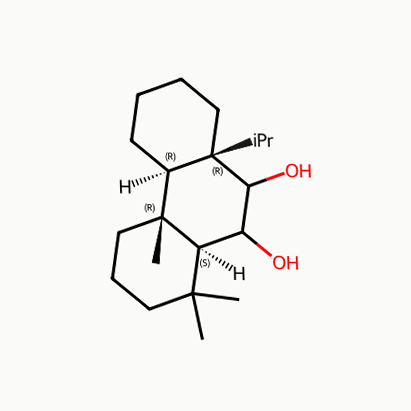 CC(C)[C@]12CCCC[C@@H]1[C@@]1(C)CCCC(C)(C)[C@@H]1C(O)C2O